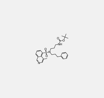 Cc1cncc2cccc(S(=O)(=O)N(CCCNC(=O)OC(C)(C)C)CCCc3ccccc3)c12